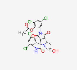 CC(=O)Oc1c(Cl)cc(Cl)cc1N1C(=O)C2C3C[C@H](O)CN3C3(C(=O)Nc4c(Cl)cc(Cl)cc43)C2C1=O